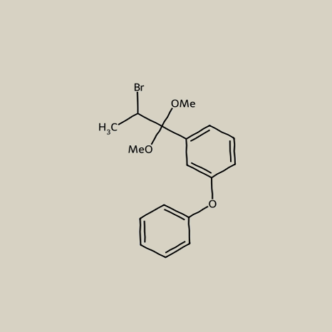 COC(OC)(c1cccc(Oc2ccccc2)c1)C(C)Br